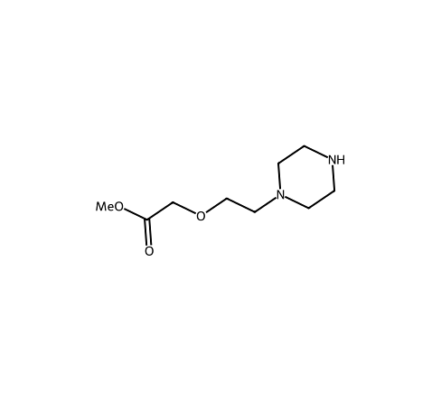 COC(=O)COCCN1CCNCC1